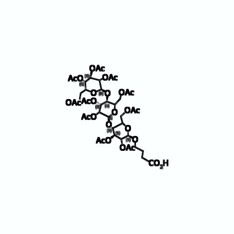 CC(=O)OCC1O[C@@H](OCCCC(=O)O)C(OC(C)=O)[C@@H](OC(C)=O)[C@@H]1O[C@@H]1OC(COC(C)=O)[C@H](O[C@H]2OC(COC(C)=O)[C@H](OC(C)=O)[C@@H](OC(C)=O)C2OC(C)=O)[C@@H](OC(C)=O)C1OC(C)=O